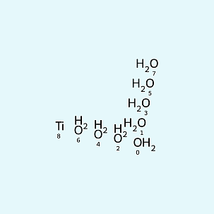 O.O.O.O.O.O.O.O.[Ti]